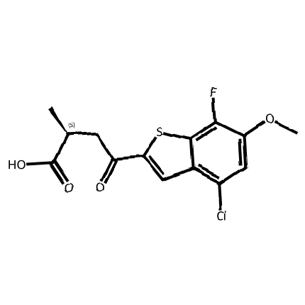 COc1cc(Cl)c2cc(C(=O)C[C@H](C)C(=O)O)sc2c1F